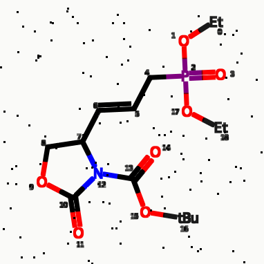 CCOP(=O)(C/C=C/C1COC(=O)N1C(=O)OC(C)(C)C)OCC